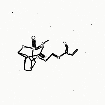 C=CC(=O)OCCOC1C2CC3C1OS(=O)(=O)C3(C(=O)OC)C2